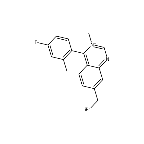 Cc1cc(F)ccc1-c1c2ccc(CC(C)C)cc2nc[n+]1C